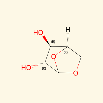 O[C@H]1[C@H]2COC(O2)[C@@H]1O